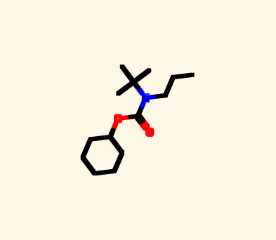 CCCN(C(=O)OC1CCCCC1)C(C)(C)C